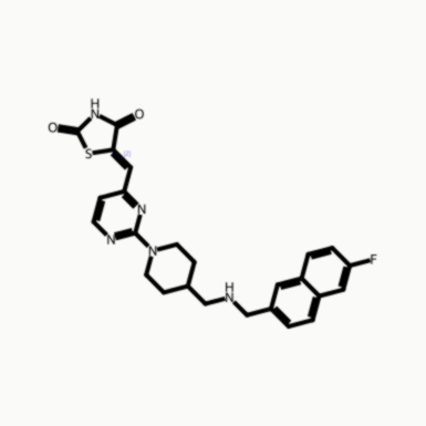 O=C1NC(=O)/C(=C/c2ccnc(N3CCC(CNCc4ccc5cc(F)ccc5c4)CC3)n2)S1